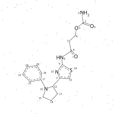 NC(=O)OCCC(=O)Nc1nc(C2CCCN2c2ccccc2)cs1